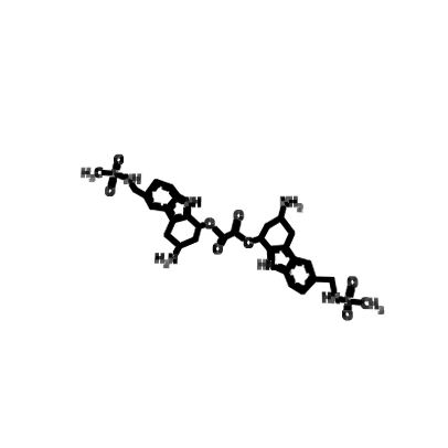 CS(=O)(=O)NCc1ccc2[nH]c3c(c2c1)CC(N)CC3OC(=O)C(=O)OC1CC(N)Cc2c1[nH]c1ccc(CNS(C)(=O)=O)cc21